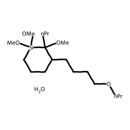 CCCOCCCCC1CCC[Si](OC)(OC)C1(CCC)OC.O